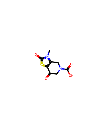 Cn1c2c(sc1=O)C(=O)CN(C(=O)O)C2